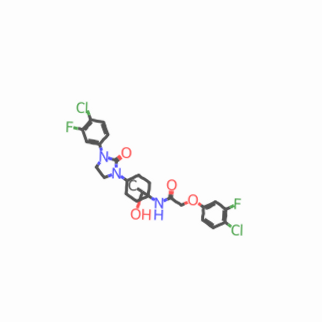 O=C(COc1ccc(Cl)c(F)c1)NC12CCC(N3CCN(c4ccc(Cl)c(F)c4)C3=O)(CC1)CC2O